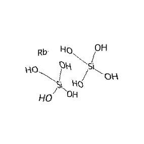 O[Si](O)(O)O.O[Si](O)(O)O.[Rb]